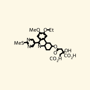 CCOc1cc2c(cc1OC)C(c1cnc(SC)nc1)=NC1CCC(OC(=O)CC(O)(CC(=O)O)C(=O)O)CC21